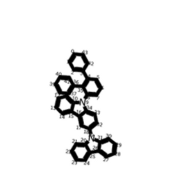 c1ccc(-c2cccc(-n3c4ccccc4c4cc(-n5c6ccccc6c6ccccc65)ccc43)c2-c2ccccc2)cc1